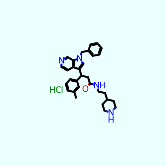 Cc1cccc(C(CC(=O)NCCC2CCNCC2)c2cn(Cc3ccccc3)c3cnccc23)c1.Cl